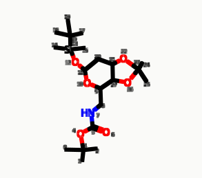 CC(C)(C)OC(=O)NCC1OC(O[Si](C)(C)C(C)(C)C)CC2OC(C)(C)OC12